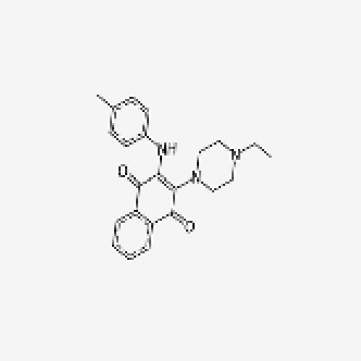 CCN1CCN(C2=C(Nc3ccc(C)cc3)C(=O)c3ccccc3C2=O)CC1